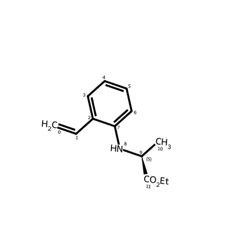 C=Cc1ccccc1N[C@@H](C)C(=O)OCC